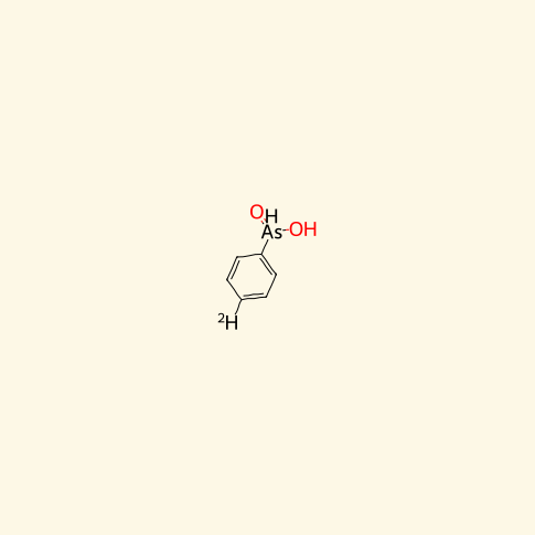 [2H]c1ccc([AsH](=O)O)cc1